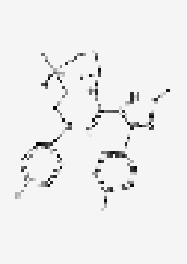 Cc1ccc(-c2sc(C)nc2C(=O)N2C3CC(C3)[C@@H](C)C2COc2ccc(F)cc2)cn1